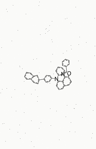 c1ccc(-c2nc3c(ccc4cccc(N(c5ccccc5)c5ccc(-c6ccc7ccccc7c6)cc5)c43)o2)cc1